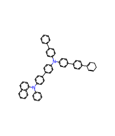 C1=CC(c2ccc(-c3ccc(N(c4ccc(-c5ccccc5)cc4)c4ccc(-c5ccc(N(c6ccccc6)c6cccc7ccccc67)cc5)cc4)cc3)cc2)=CCC1